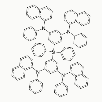 C1=CCC(N(c2cc(N(c3ccccc3)c3cccc4ccccc34)cc([Si](c3ccccc3)(c3ccccc3)c3cc(N(c4ccccc4)c4cccc5ccccc45)cc(N(c4ccccc4)c4cccc5ccccc45)c3)c2)c2cccc3ccccc23)C=C1